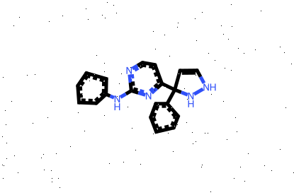 C1=CC(c2ccccc2)(c2ccnc(Nc3ccccc3)n2)NN1